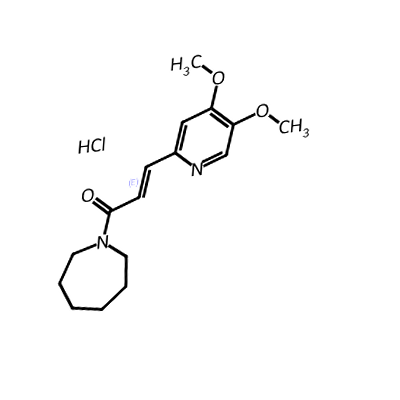 COc1cnc(/C=C/C(=O)N2CCCCCC2)cc1OC.Cl